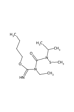 CCCCOC(=N)N(CC)C(=O)N(SC)C(C)C